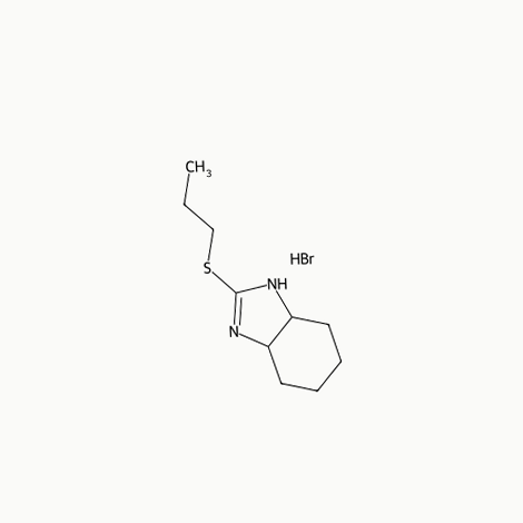 Br.CCCSC1=NC2CCCCC2N1